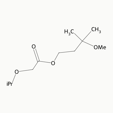 COC(C)(C)CCOC(=O)COC(C)C